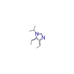 C/C=c1/ncn(C(C)C)/c1=C/C